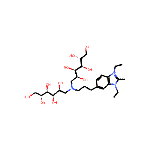 CCn1c(C)[n+](CC)c2ccc(CCCN(C[C@H](O)[C@@H](O)[C@H](O)[C@H](O)CO)C[C@H](O)[C@@H](O)[C@H](O)[C@H](O)CO)cc21